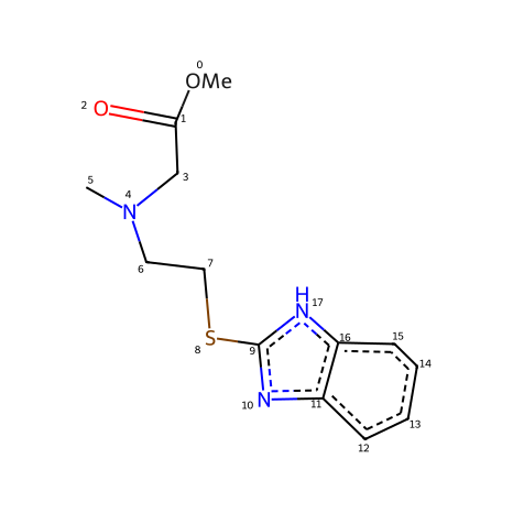 COC(=O)CN(C)CCSc1nc2ccccc2[nH]1